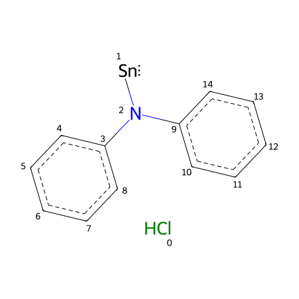 Cl.[Sn][N](c1ccccc1)c1ccccc1